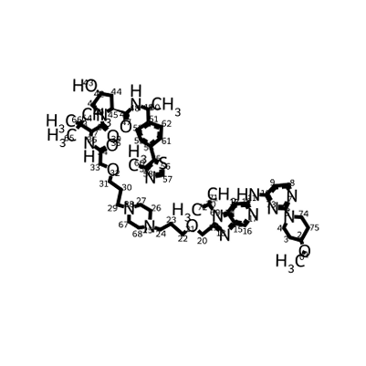 COC1CCN(c2nccc(Nc3cc4c(cn3)nc(COCCCN3CCN(CCCOCC(=O)NC(C(=O)N5C[C@H](O)C[C@H]5C(=O)N[C@@H](C)c5ccc(-c6scnc6C)cc5)C(C)(C)C)CC3)n4C(C)C)n2)CC1